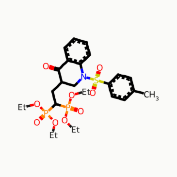 CCOP(=O)(OCC)C(CC1CN(S(=O)(=O)c2ccc(C)cc2)c2ccccc2C1=O)P(=O)(OCC)OCC